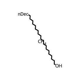 C.CCCCCCCCCCCCCCCCCCCCCCCCCCCCCCO